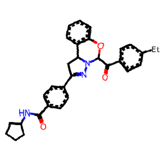 CCc1ccc(C(=O)C2Oc3ccccc3C3CC(c4ccc(C(=O)NC5CCCC5)cc4)=NN23)cc1